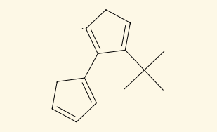 CC(C)(C)C1=CC[C]=C1C1=CC=CC1